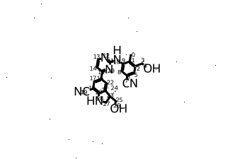 Cc1c(CO)cc(C#N)cc1Nc1nccc(-c2cc(C#N)c3c(c2)[C@@](C)(CO)CN3)n1